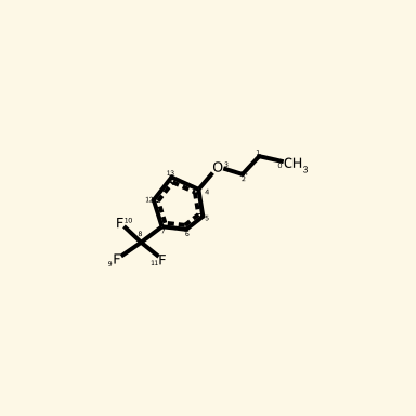 CC[CH]Oc1ccc(C(F)(F)F)cc1